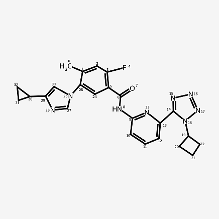 Cc1cc(F)c(C(=O)Nc2cccc(-c3nnnn3C3CCC3)n2)cc1-n1cnc(C2CC2)c1